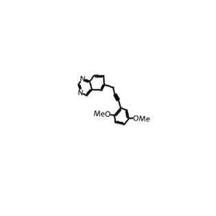 COc1ccc(OC)c(C#CCc2ccc3ncncc3c2)c1